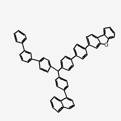 c1ccc(-c2cccc(-c3ccc(C(c4ccc(-c5ccc(-c6ccc7c(c6)oc6ccccc67)cc5)cc4)c4ccc(-c5cccc6ccccc56)cc4)cc3)c2)cc1